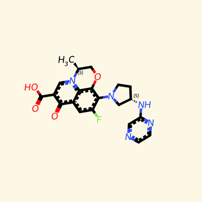 C[C@H]1COc2c(N3CC[C@H](Nc4cnccn4)C3)c(F)cc3c(=O)c(C(=O)O)cn1c23